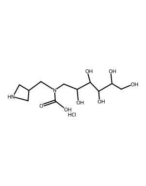 Cl.O=C(O)N(CC1CNC1)CC(O)C(O)C(O)C(O)CO